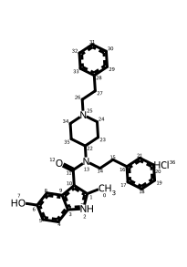 Cc1[nH]c2ccc(O)cc2c1C(=O)N(CCc1ccccc1)C1CCN(CCc2ccccc2)CC1.Cl